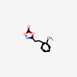 Cc1ccccc1CCc1noc(=O)o1